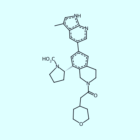 Cc1c[nH]c2ncc(-c3cc4c(c([C@@H]5CCCN5C(=O)O)c3)CN(C(=O)CC3CCOCC3)CC4)cc12